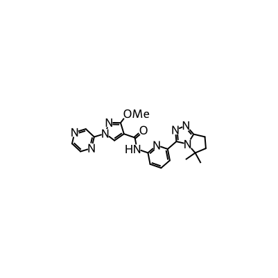 COc1nn(-c2cnccn2)cc1C(=O)Nc1cccc(-c2nnc3n2C(C)(C)CC3)n1